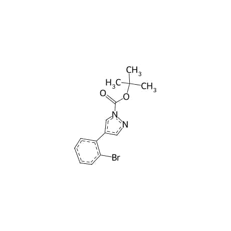 CC(C)(C)OC(=O)n1cc(-c2ccccc2Br)cn1